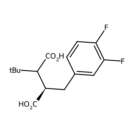 CC(C)(C)C(C(=O)O)[C@@H](Cc1ccc(F)c(F)c1)C(=O)O